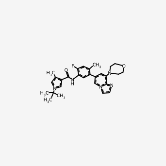 Cc1cn(C(C)(C)C)cc1C(=O)Nc1cc(-c2cc(N3CCOCC3)c3nccn3c2)c(C)cc1F